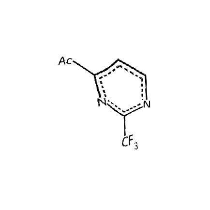 CC(=O)c1ccnc(C(F)(F)F)n1